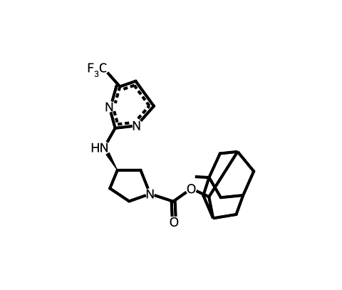 CC12CC3CC(C1)C(OC(=O)N1CC[C@@H](Nc4nccc(C(F)(F)F)n4)C1)C(C3)C2